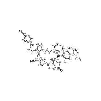 Cn1cnc2ccc(-c3nn(C)c4c(CCC[C@H]5C[C@H]6CN(c7ccc(C#N)cn7)CCN6C5=O)cccc34)c(CCC[C@H]3C[C@H]4CN(c5ccc(C#N)cn5)CCN4C3=O)c21